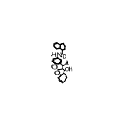 O=C(Nc1cccc(C(C2CC2)C2C(=O)OC3=CC=CCCCC3C2O)c1)c1cccc2ccccc12